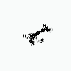 CC(C)Oc1cc2nc(C3CCN(CCc4ccc(NC5CCC(=O)NC5=O)cc4)CC3)cn2cc1NC(=O)c1cccc(C(F)(F)F)n1.O=CO